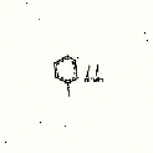 CCCCCC.CO.Cc1ccccc1